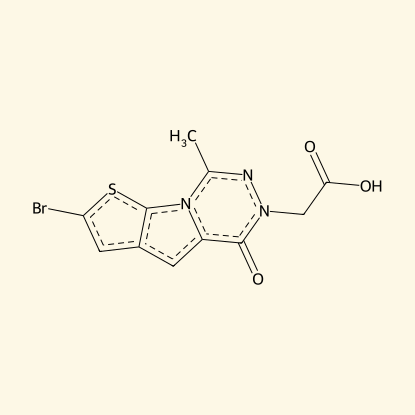 Cc1nn(CC(=O)O)c(=O)c2cc3cc(Br)sc3n12